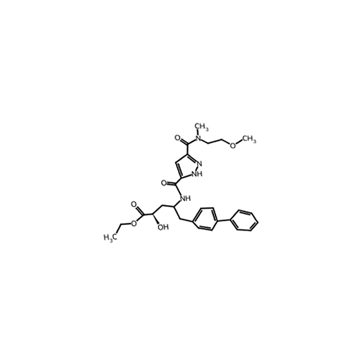 CCOC(=O)[C@H](O)CC(Cc1ccc(-c2ccccc2)cc1)NC(=O)c1cc(C(=O)N(C)CCOC)n[nH]1